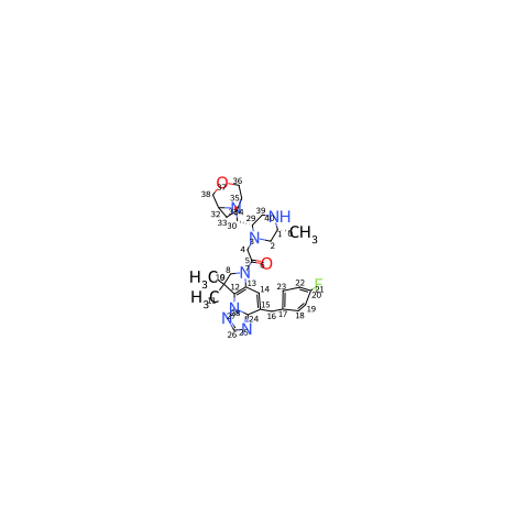 C[C@@H]1CN(CC(=O)N2CC(C)(C)c3c2cc(Cc2ccc(F)cc2)c2ncnn32)[C@H](CN2C3CCC2COC3)CN1